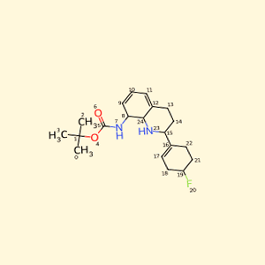 CC(C)(C)OC(=O)NC1C=CC=C2CCC(C3=CCC(F)CC3)NC21